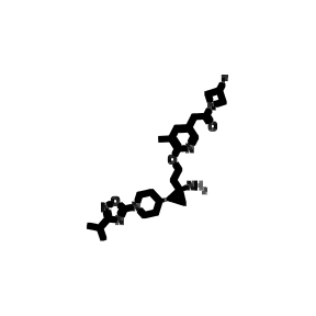 Cc1cc(CC(=O)N2CC(F)C2)cnc1OCC[C@]1(N)C[C@@H]1C1CCN(c2nc(C(C)C)no2)CC1